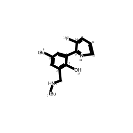 CC(C)(C)NCc1cc(C(C)(C)C)cc(-c2ncccc2F)c1O